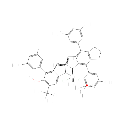 COc1c(C(C)(C)C)cc2c(c1-c1cc(C)cc(C)c1)C=C(C)[CH]2[Zr]([Cl])([Cl])(=[SiH][SiH](C)C)[CH]1C(C)=Cc2c(-c3cc(C)cc(C)c3)c3c(c(-c4cc(C)cc(C)c4)c21)CCC3